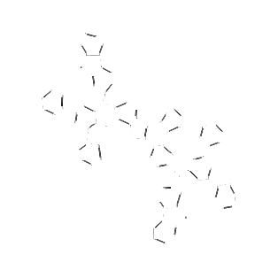 CC1(C)c2ccccc2-c2ccc(N(c3ccc4c(c3)sc3c5ccc(N(c6ccc7c(c6)C(C)(C)c6ccccc6-7)c6cc(-c7ccccc7)cc(-c7ccccc7)c6F)cc5c5ccccc5c43)c3cc(-c4ccccc4)cc(-c4ccccc4)c3F)cc21